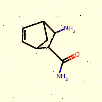 NC(=O)C1C2C=CC(C2)C1N